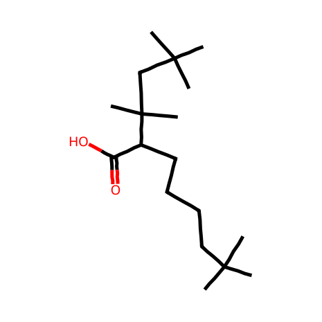 CC(C)(C)CCCCC(C(=O)O)C(C)(C)CC(C)(C)C